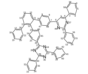 c1ccc(-c2cc(-c3ccc(-c4cccc(-c5ccccc5)c4-c4ccc(-c5nc(-c6ccccc6)nc(-c6ccccc6)n5)cc4)cc3)nc(-c3ccccc3)n2)cc1